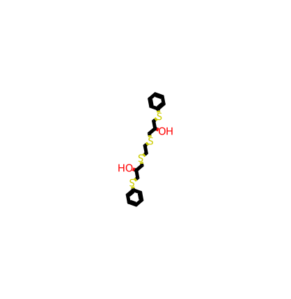 OC(CSCCSCC(O)CSc1ccccc1)CSc1ccccc1